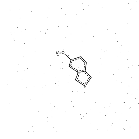 COc1ccc2cncn2c1